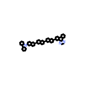 c1ccc2c(c1)c1ccc(-c3ccc4cc(-c5ccc6cc(-c7ccc8cc(-n9c%10ccccc%10c%10ccccc%109)ccc8c7)ccc6c5)ccc4c3)cc1c1nccnc21